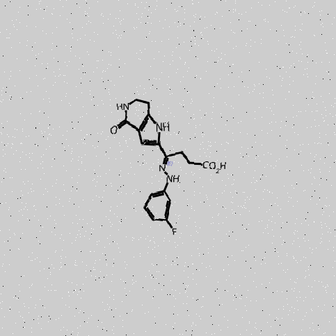 O=C(O)CC/C(=N\Nc1cccc(F)c1)c1cc2c([nH]1)CCNC2=O